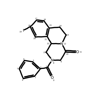 O=C(c1ccccc1)N1CC(=O)N2CCc3ccc(I)cc3C2C1